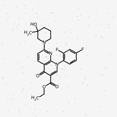 CCOC(=O)c1cn(-c2ccc(F)cc2F)c2nc(N3CCCC(C)(O)C3)ccc2c1=O